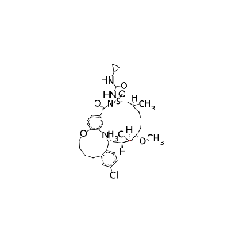 CO[C@@]12CCC[C@H](C)CS(=O)(NC(=O)NC3CC3)=NC(=O)c3ccc4c(c3)N(Cc3ccc(Cl)cc3CCCCO4)C[C@H](C1)[C@H]2C